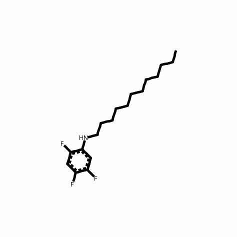 CCCCCCCCCCCCNc1cc(F)c(F)cc1F